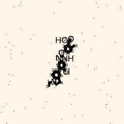 CCN1CCc2cc(-c3cc4nc(Oc5ccc(C)c(C(=O)O)c5)[nH]c4cc3Cl)ccc21